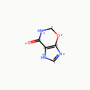 O=C1NCOc2nc[nH]c21